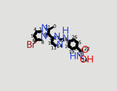 Cc1nc2ccc(Br)cn2c1-c1ccnc(Nc2ccc(C(=O)NO)cc2)n1